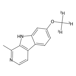 [2H]C([2H])([2H])Oc1ccc2c(c1)[nH]c1c(C)nccc12